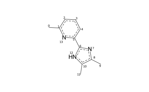 Cc1cccc(-c2nc(C)c(C)[nH]2)n1